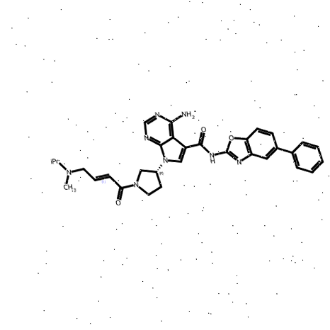 CC(C)N(C)C/C=C/C(=O)N1CC[C@@H](n2cc(C(=O)Nc3nc4cc(-c5ccccc5)ccc4o3)c3c(N)ncnc32)C1